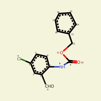 O=Cc1cc(Cl)ccc1NC(=O)OCc1ccccc1